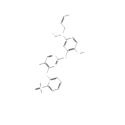 C/C=C\CN(CO)c1ccc(OC)c(Nc2ncc(C)c(Nc3ccccc3P(C)(C)=O)n2)c1